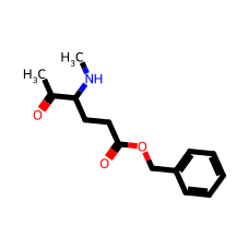 CNC(CCC(=O)OCc1ccccc1)C(C)=O